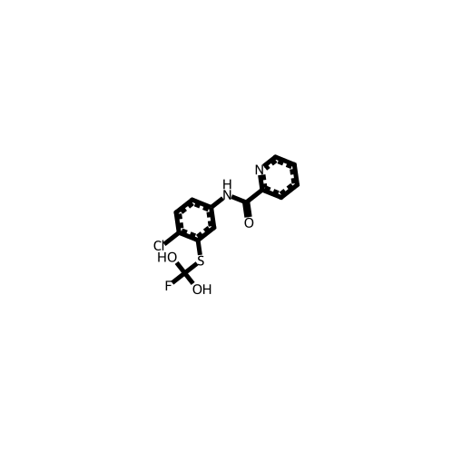 O=C(Nc1ccc(Cl)c(SC(O)(O)F)c1)c1ccccn1